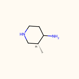 C[C@@H]1CNCCC1N